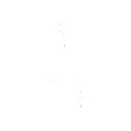 CCCCCCC(CCCCCCCCCCCC(=O)OCc1ccc(-c2cc(Br)c(Nc3ccc(O)c4c3C(=O)c3ccccc3C4=O)c(Br)c2)cc1)C(CCCCCC)CCCCCCCCCCCC(=O)OCc1ccc(-c2cc(Br)c(Nc3ccc(O)c4c3C(=O)c3ccccc3C4=O)c(Br)c2)cc1